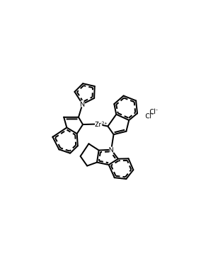 C1=C(n2cccc2)[CH]([Zr+2][CH]2C(n3c4c(c5ccccc53)CCC4)=Cc3ccccc32)c2ccccc21.[Cl-].[Cl-]